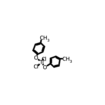 Cc1ccc([O][Ti]([Cl])([Cl])[O]c2ccc(C)cc2)cc1